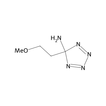 COCCC1(N)N=NN=N1